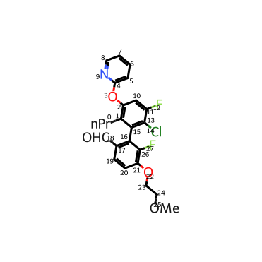 CCCc1c(Oc2ccccn2)cc(F)c(Cl)c1-c1c(C=O)ccc(OCCOC)c1F